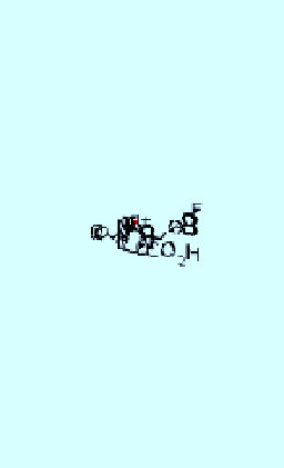 CCc1c2c(nn1C)N(CCC1CCOCC1)CCCCCn1c(C(=O)O)c(CCCOc3cccc4cc(F)ccc34)c3ccc(Cl)c-2c31